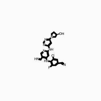 N#Cc1cc(F)c(Nc2cc(Nc3cc(N4CC[C@@H](O)C4)ncn3)ncc2C=N)c(Cl)c1